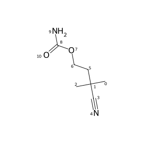 CC(C)(C#N)CCOC(N)=O